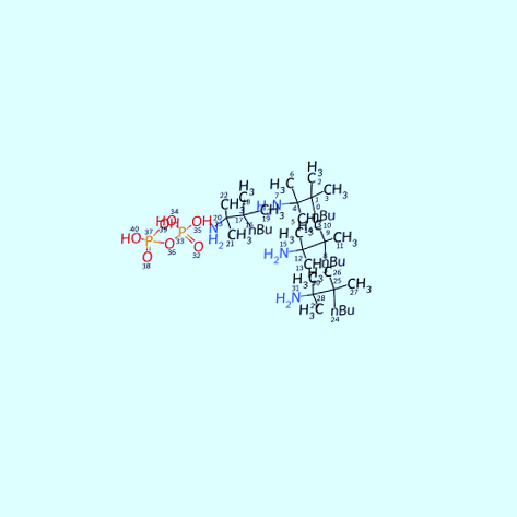 CCCCC(C)(C)C(C)(C)N.CCCCC(C)(C)C(C)(C)N.CCCCC(C)(C)C(C)(C)N.CCCCC(C)(C)C(C)(C)N.O=P(O)(O)OP(=O)(O)O